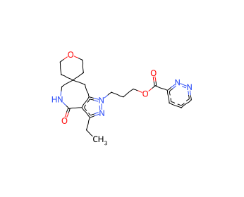 CCc1nn(CCCOC(=O)c2cccnn2)c2c1C(=O)NCC1(CCOCC1)C2